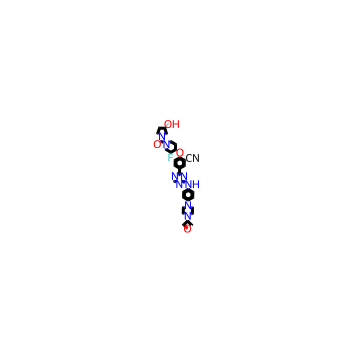 N#Cc1cc(-c2ncnc(Nc3ccc(N4CCN(C5COC5)CC4)cc3)n2)ccc1O[C@H]1CCN(C(=O)N2CC[C@H](O)C2)C[C@@H]1F